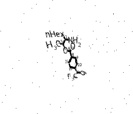 CCCCCCC(N)C(C)OC(=O)c1ccc(C(=O)C(F)(F)F)cc1